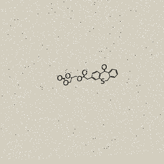 O=C(Cc1ccc2c(c1)SCc1ccccc1C2=O)OCC1COC(=O)O1